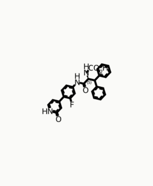 O=C(O)N[C@H](C(=O)Nc1ccc(-c2cc[nH]c(=O)c2)c(F)c1)C(c1ccccc1)c1ccccc1